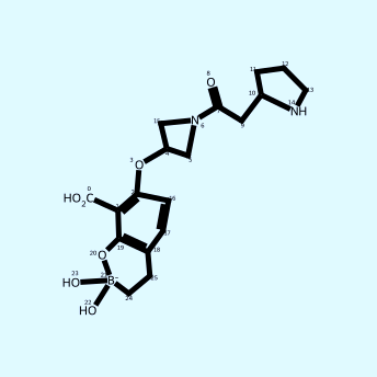 O=C(O)c1c(OC2CN(C(=O)CC3CCCN3)C2)ccc2c1O[B-](O)(O)CC2